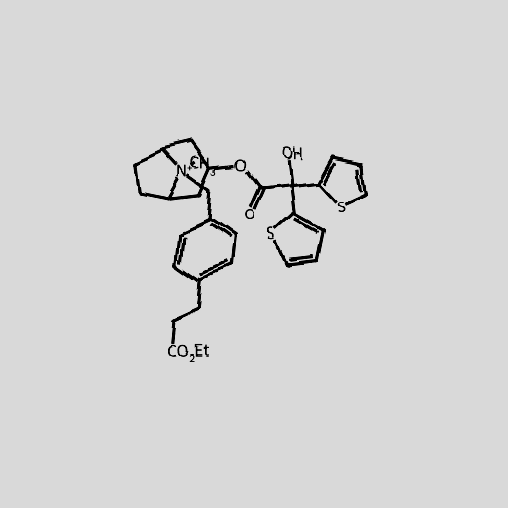 CCOC(=O)CCc1ccc(C[N+]2(C)C3CCC2CC(OC(=O)C(O)(c2cccs2)c2cccs2)C3)cc1